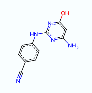 N#Cc1ccc(Nc2nc(N)cc(O)n2)cc1